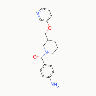 Nc1ccc(C(=O)N2CCCC(COc3cccnc3)C2)cc1